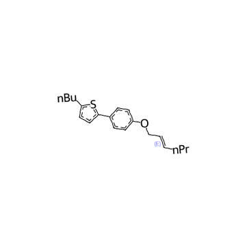 CCC/C=C/COc1ccc(-c2ccc(CCCC)s2)cc1